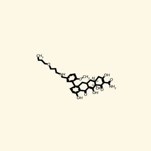 CCCCOCCCNCc1ccc(OC)c(-c2ccc(O)c3c2CC2C[C@H]4CC(O)=C(C(N)=O)C(=O)[C@@]4(O)C(O)=C2C3=O)c1